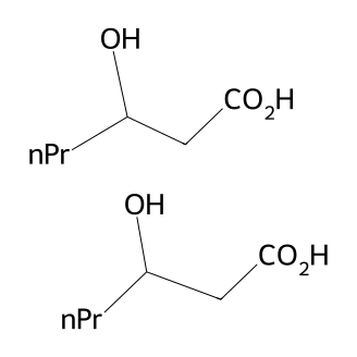 CCCC(O)CC(=O)O.CCCC(O)CC(=O)O